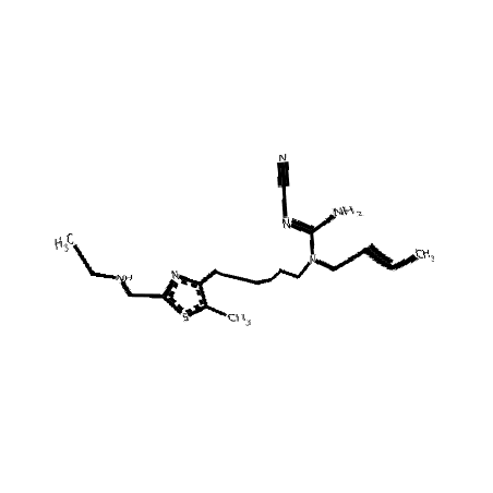 CC=CCN(CCCCc1nc(CNCC)sc1C)C(N)=NC#N